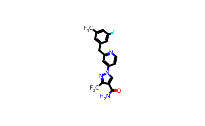 NC(=O)c1cn(-c2ccnc(Cc3cc(F)cc(C(F)(F)F)c3)c2)nc1C(F)(F)F